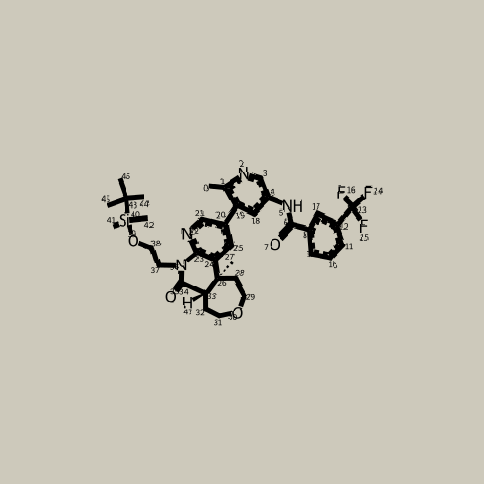 Cc1ncc(NC(=O)c2cccc(C(F)(F)F)c2)cc1-c1cnc2c(c1)[C@@]1(C)CCOCC[C@@H]1C(=O)N2CCO[Si](C)(C)C(C)(C)C